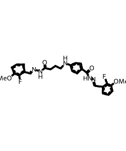 COc1cccc(/C=N/NC(=O)CCCNc2ccc(C(=O)N/N=C/c3cccc(OC)c3F)cc2)c1F